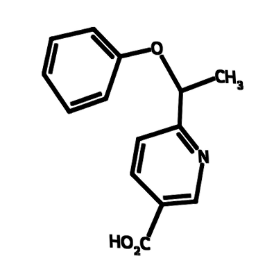 CC(Oc1ccccc1)c1ccc(C(=O)O)cn1